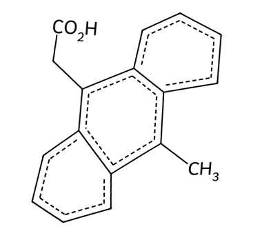 Cc1c2ccccc2c(CC(=O)O)c2ccccc12